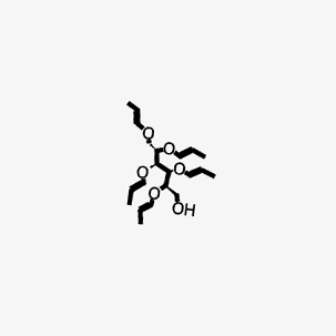 CC=COC[C@H](OC=CC)[C@@H](OC=CC)[C@H](OC=CC)[C@@H](CO)OC=CC